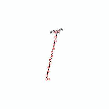 CC(C)[SiH](C)O[Si](C)(CCCOCCOCCOCCOCCOCCOCCOCCOCCOCCOCCOCCO)O[Si](C)(C)C(C)C